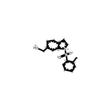 Cc1ccccc1S(=O)(=O)n1ccc2ccc(CO)cc21